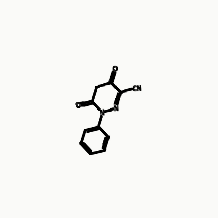 N#CC1=NN(c2ccccc2)C(=O)CC1=O